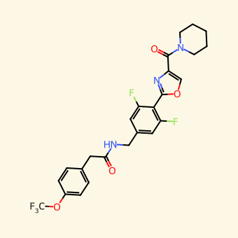 O=C(Cc1ccc(OC(F)(F)F)cc1)NCc1cc(F)c(-c2nc(C(=O)N3CCCCC3)co2)c(F)c1